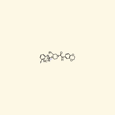 CC(C)C1CN(C(=O)Nc2ccc3c(c2)OCCO3)CCN1/C(=N/C#N)Nc1cccc(F)c1